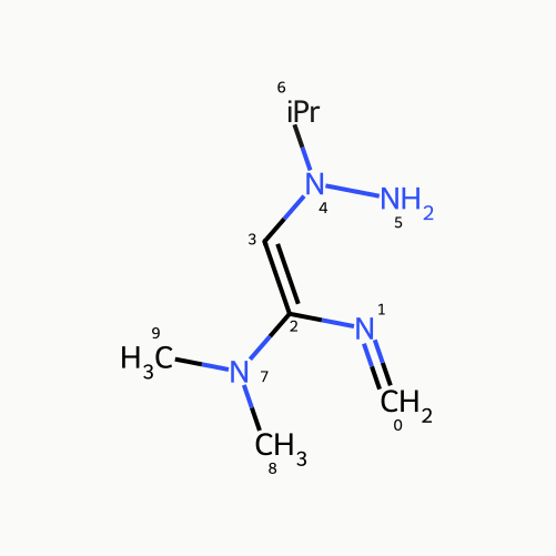 C=N/C(=C\N(N)C(C)C)N(C)C